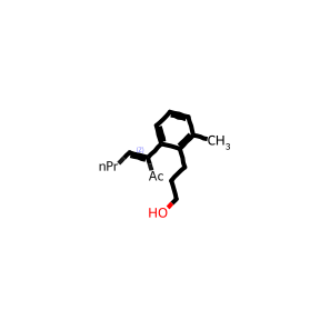 CCC/C=C(\C(C)=O)c1cccc(C)c1CCCO